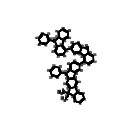 CC1(C)c2ccccc2-c2cc3c4cc(-c5cccc6oc7ccc(-c8cccc9c8c8ccccc8n9-c8ccccc8)cc7c56)ccc4n(-c4ccccc4)c3cc21